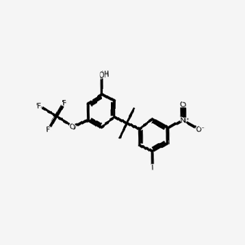 CC(C)(c1cc(O)cc(OC(F)(F)F)c1)c1cc(I)cc([N+](=O)[O-])c1